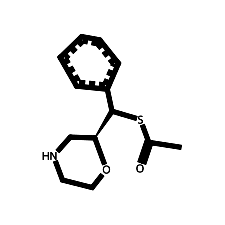 CC(=O)SC(c1ccccc1)[C@@H]1CNCCO1